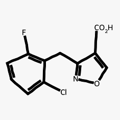 O=C(O)c1conc1Cc1c(F)cccc1Cl